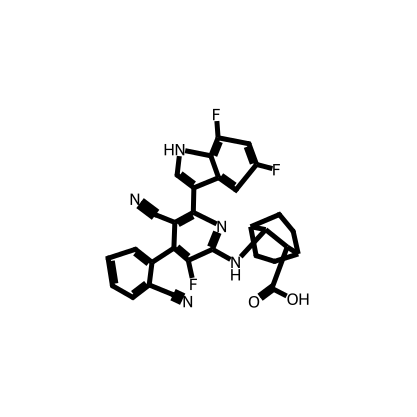 N#Cc1ccccc1-c1c(F)c(NC2C3CCC(CC3)C2C(=O)O)nc(-c2c[nH]c3c(F)cc(F)cc23)c1C#N